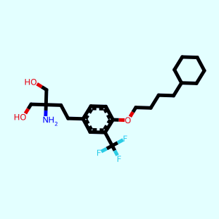 NC(CO)(CO)CCc1ccc(OCCCCC2CCCCC2)c(C(F)(F)F)c1